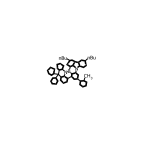 CCCCc1ccc2c(c1)c1cc(CCCC)cc3c1n2-c1cc(-c2ccccc2C)cc2c1B3N1c3ccccc3C(c3ccccc3)(c3ccccc3)c3cccc-2c31